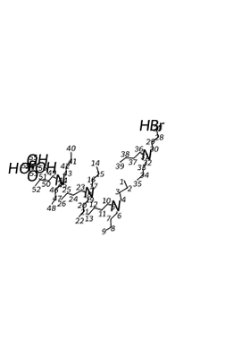 Br.CCCCN(CCCC)CCCC.CCCCN(CCCC)CCCC.CCCCN(CCCC)CCCC.CCCCN(CCCC)CCCC.O=P(O)(O)O